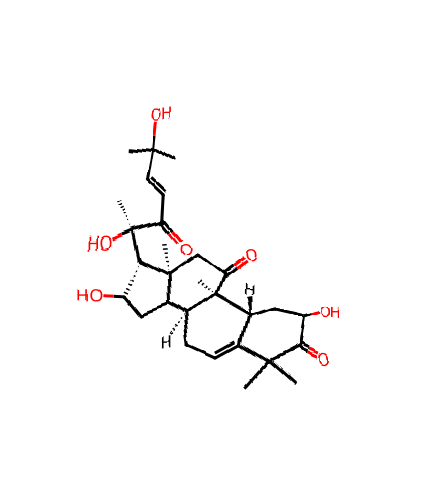 CC(C)(O)/C=C/C(=O)[C@](C)(O)[C@H]1C(O)CC2[C@@H]3CC=C4[C@@H](CC(O)C(=O)C4(C)C)[C@]3(C)C(=O)C[C@@]21C